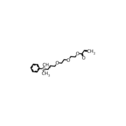 C=CC(=O)OCCOCCOCCC[Si](C)(C)c1ccccc1